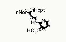 CCCCCCCCCC(CCCCCCC)OCNc1ncccc1C(=O)O